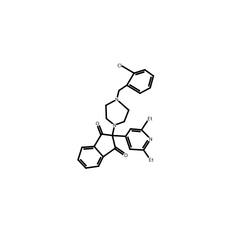 CCc1cc(C2(N3CCN(Cc4ccccc4Cl)CC3)C(=O)c3ccccc3C2=O)cc(CC)n1